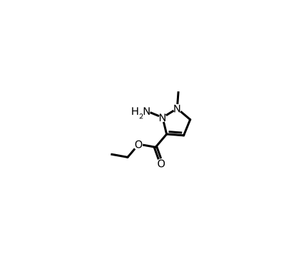 CCOC(=O)C1=CCN(C)N1N